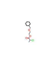 CC(Cl)C(=O)OCCOCc1ccccc1